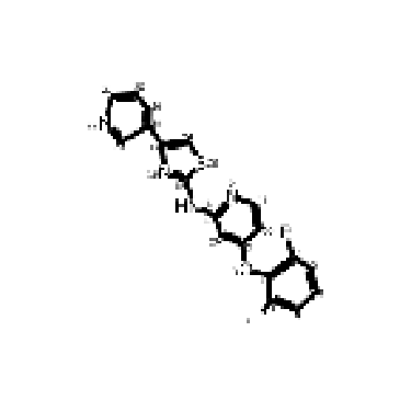 Fc1cccc(F)c1Oc1ccnc(Nc2nc(-c3cccnc3)cs2)c1